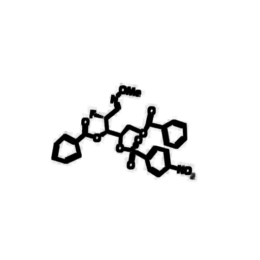 CON=C[C@@H](F)[C@H](OC(=O)c1ccccc1)[C@@H](COC(=O)c1ccccc1)OS(=O)(=O)c1ccc([N+](=O)[O-])cc1